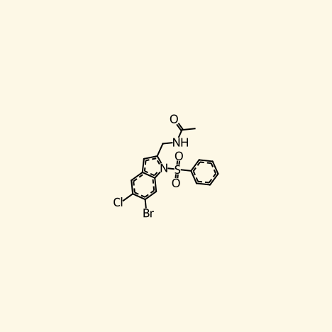 CC(=O)NCc1cc2cc(Cl)c(Br)cc2n1S(=O)(=O)c1ccccc1